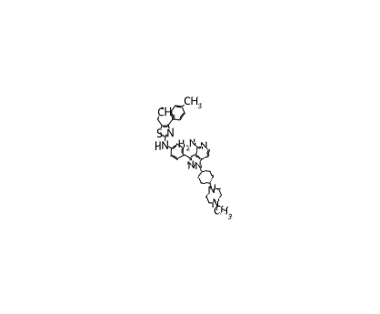 CCc1sc(Nc2ccc(-c3nn(C4CCC(N5CCN(C)CC5)CC4)c4ccnc(N)c34)cc2)nc1-c1ccc(C)cc1